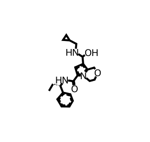 CC[C@H](NC(=O)c1cc(C(O)NCC2CC2)c2n1CCOC2)c1ccccc1